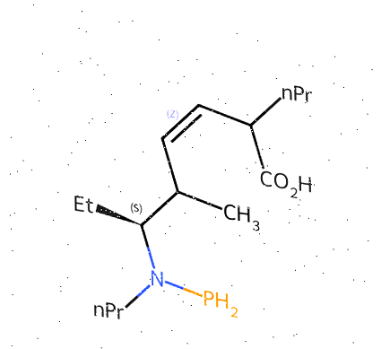 CCCC(/C=C\C(C)[C@H](CC)N(P)CCC)C(=O)O